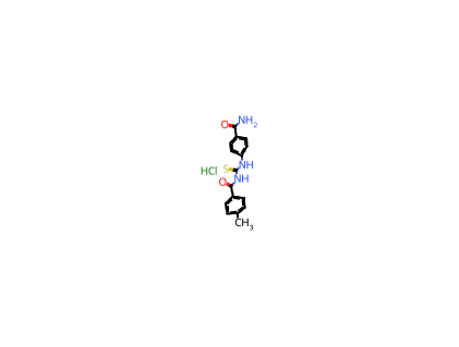 Cc1ccc(C(=O)NC(=S)Nc2ccc(C(N)=O)cc2)cc1.Cl